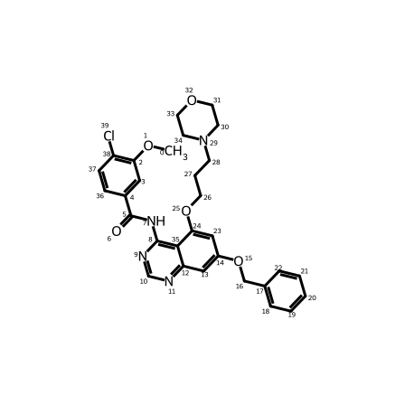 COc1cc(C(=O)Nc2ncnc3cc(OCc4ccccc4)cc(OCCCN4CCOCC4)c23)ccc1Cl